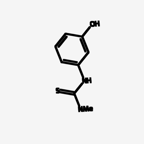 CNC(=S)Nc1cccc(O)c1